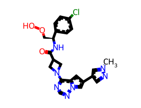 Cn1cc(-c2cc3c(N4CC(C(=O)N[C@@H](COO)c5ccc(Cl)cc5)C4)ncnn3c2)cn1